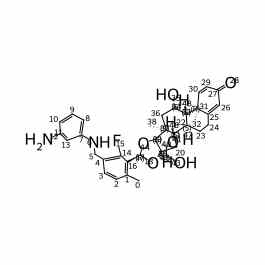 Cc1ccc(CNc2cccc(N)c2)c(F)c1[C@@H]1O[C@@H]2C[C@H]3[C@@H]4CCC5=CC(=O)C=C[C@]5(C)[C@H]4[C@@H](O)C[C@]3(C)[C@]2(C(=O)CO)O1